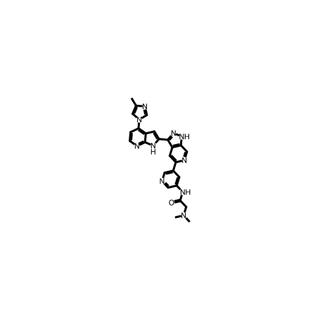 Cc1cn(-c2ccnc3[nH]c(-c4n[nH]c5cnc(-c6cncc(NC(=O)CN(C)C)c6)cc45)cc23)cn1